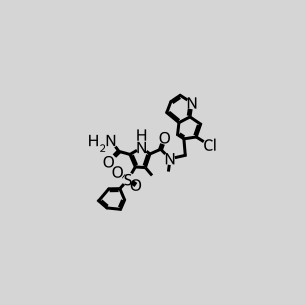 Cc1c(C(=O)N(C)Cc2cc3cccnc3cc2Cl)[nH]c(C(N)=O)c1S(=O)(=O)c1ccccc1